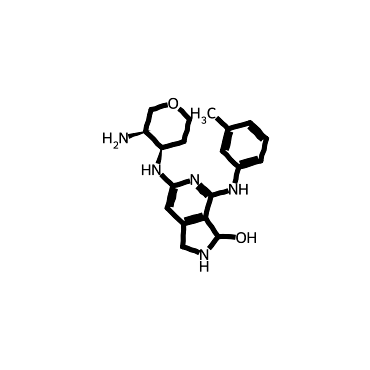 Cc1cccc(Nc2nc(N[C@@H]3CCOC[C@@H]3N)cc3c2C(O)NC3)c1